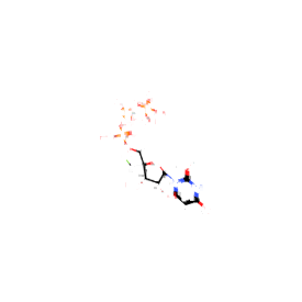 C[C@@]1(n2ccc(=O)[nH]c2=O)O[C@](CF)(COP(=O)(O)OP(=O)(O)OP(=O)(O)O)[C@@H](O)[C@H]1O